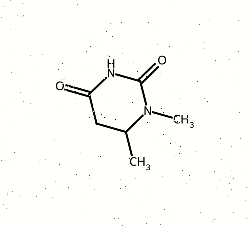 CC1CC(=O)NC(=O)N1C